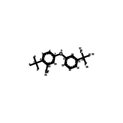 CC(C)(C)c1ccc(Oc2cccc(C(F)(F)F)c2)cc1Br